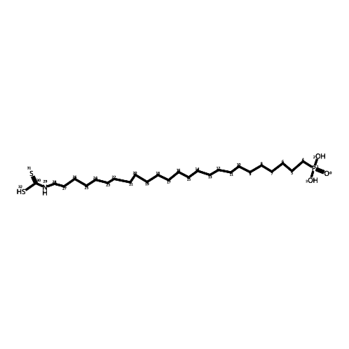 O=P(O)(O)CCCCCCCCCCCCCCCCCCCCCCCCCNC(=S)S